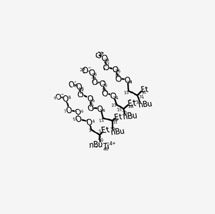 CCCCC(CC)COOOOO[O-].CCCCC(CC)COOOOO[O-].CCCCC(CC)COOOOO[O-].CCCCC(CC)COOOOO[O-].[Ti+4]